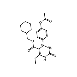 CCC1=C(C(=O)OCC2CCCCC2)[C@H](c2ccc(OC(C)=O)cc2)NC(=O)N1